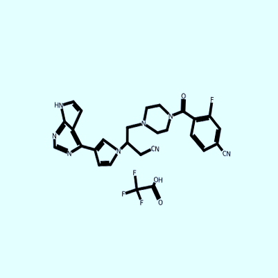 N#CCC(CN1CCN(C(=O)c2ccc(C#N)cc2F)CC1)n1ccc(-c2ncnc3[nH]ccc23)c1.O=C(O)C(F)(F)F